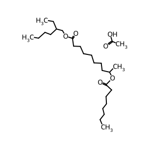 CC(=O)O.CCCCCCCC(=O)OC(C)CCCCCCCC(=O)OCC(CC)CCCC